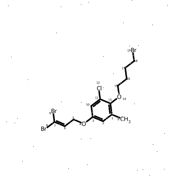 Cc1cc(OCC=C(Br)Br)cc(Cl)c1OCCCCBr